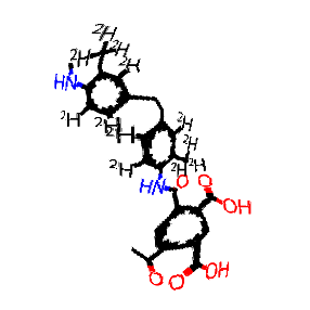 [2H]c1c([2H])c(NC)c(C([2H])([2H])[2H])c([2H])c1Cc1c([2H])c([2H])c(NC(=O)c2cc(C(C)=O)c(C(=O)O)cc2C(=O)O)c(C([2H])([2H])[2H])c1[2H]